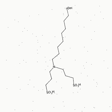 CCCCCCCCCCCCCCCCCCN(CCCS(=O)(=O)O)CCCS(=O)(=O)O